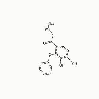 CCCCNCC(=O)c1ccc(O)c(O)c1Oc1ccccc1